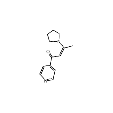 CC(=CC(=O)c1ccncc1)N1CCCC1